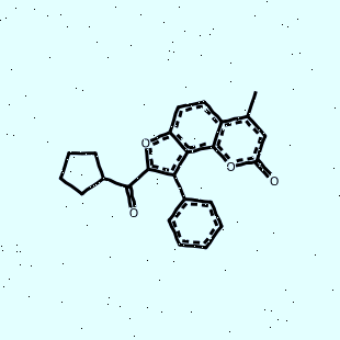 Cc1cc(=O)oc2c1ccc1oc(C(=O)C3CCCC3)c(-c3ccccc3)c12